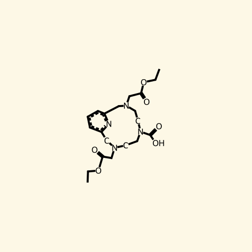 CCOC(=O)CN1CCN(C(=O)O)CCN(CC(=O)OCC)Cc2cccc(n2)C1